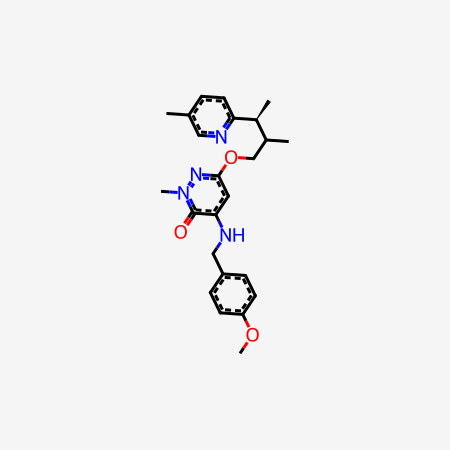 COc1ccc(CNc2cc(OCC(C)[C@H](C)c3ccc(C)cn3)nn(C)c2=O)cc1